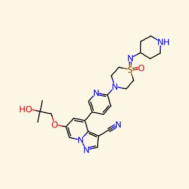 CC(C)(O)COc1cc(-c2ccc(N3CCS(=O)(=NC4CCNCC4)CC3)nc2)c2c(C#N)cnn2c1